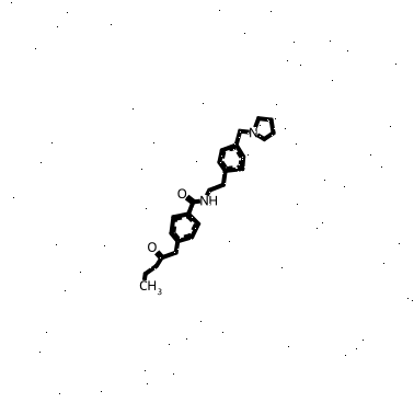 CCCC(=O)Cc1ccc(C(=O)NCCc2ccc(CN3CCCC3)cc2)cc1